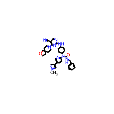 Cn1cc(-c2ccc(N(C(=O)NCc3ccccc3)[C@H]3CC[C@H](Nc4ncc(C#N)c(N5CCC6(CCOC6)CC5)n4)CC3)nc2)cn1